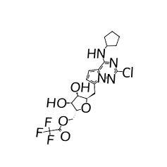 O=C(OC[C@H]1O[C@H](Cc2ccc3c(NC4CCCC4)nc(Cl)nn23)[C@H](O)[C@@H]1O)C(F)(F)F